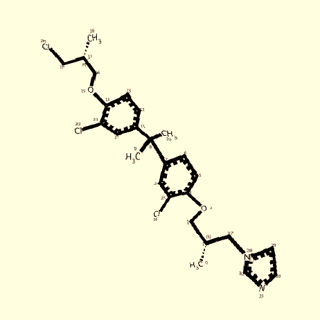 C[C@H](COc1ccc(C(C)(C)c2ccc(OC[C@@H](C)CCl)c(Cl)c2)cc1Cl)Cn1ccnc1